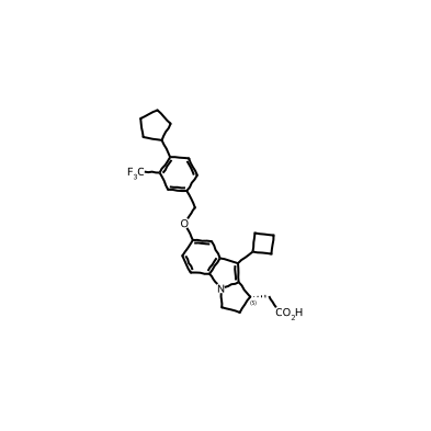 O=C(O)C[C@@H]1CCn2c1c(C1CCC1)c1cc(OCc3ccc(C4CCCC4)c(C(F)(F)F)c3)ccc12